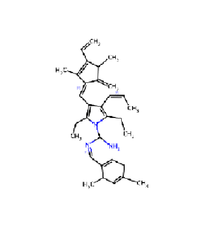 C=CC1=C(C)/C(=C/c2c(/C=C\C)c(CC)n(C(N)/N=C\C3=CCC(C)=CC3C)c2CC)C(=C)C1C